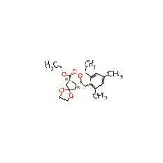 CCOC(=O)[C@@H]1CC2(C[C@H]1C(=O)Cc1c(C)cc(C)cc1CC)OCCO2